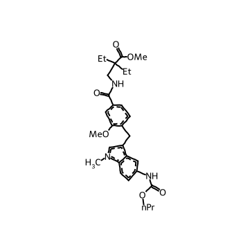 CCCOC(=O)Nc1ccc2c(c1)c(Cc1ccc(C(=O)NCC(CC)(CC)C(=O)OC)cc1OC)cn2C